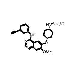 C#Cc1cccc(Nc2ncnc3cc(OC)c(O[C@H]4CC[C@@H](NC(=O)OCC)CC4)cc23)c1